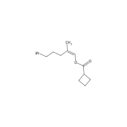 CC(=COC(=O)C1CCC1)CCCC(C)C